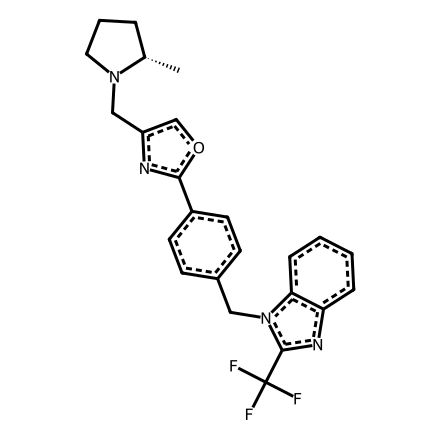 C[C@H]1CCCN1Cc1coc(-c2ccc(Cn3c(C(F)(F)F)nc4ccccc43)cc2)n1